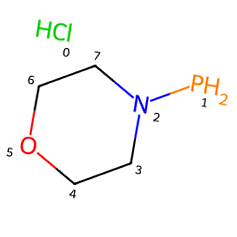 Cl.PN1CCOCC1